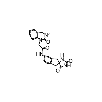 CN1Cc2ccccc2N(CC(=O)Nc2ccc3c(c2)CC2(C3)NC(=O)NC2=O)C1=O